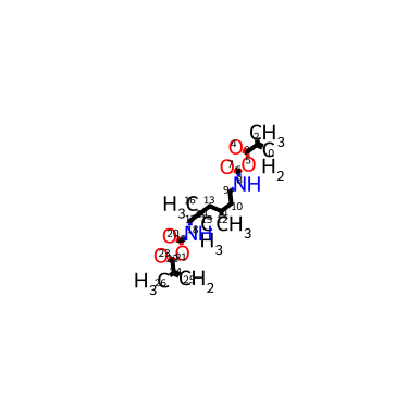 C=C(C)C(=O)OC(=O)NCCC(C)CC(C)(C)CNC(=O)OC(=O)C(=C)C